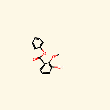 COc1c(O)cccc1C(=O)Oc1ccccc1